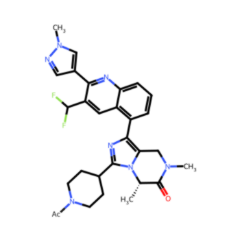 CC(=O)N1CCC(c2nc(-c3cccc4nc(-c5cnn(C)c5)c(C(F)F)cc34)c3n2[C@@H](C)C(=O)N(C)C3)CC1